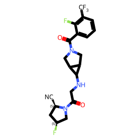 N#C[C@@H]1C[C@H](F)CN1C(=O)CNC1C2CN(C(=O)c3cccc(C(F)(F)F)c3F)CC21